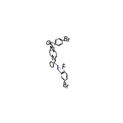 O=C(/C=C/c1cc(Br)ccc1F)N1CCN([S+]([O-])c2ccc(Br)cc2)CC1